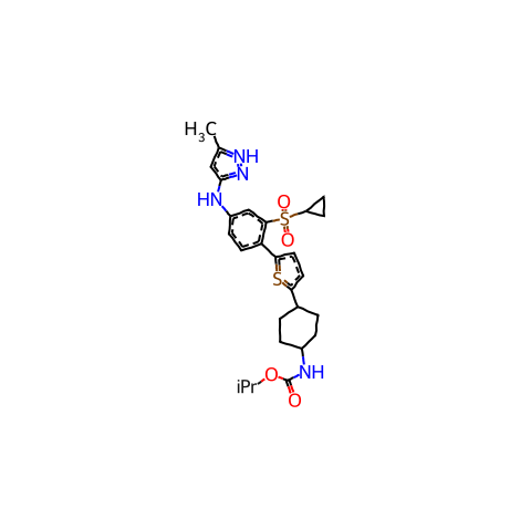 Cc1cc(Nc2ccc(-c3ccc(C4CCC(NC(=O)OC(C)C)CC4)s3)c(S(=O)(=O)C3CC3)c2)n[nH]1